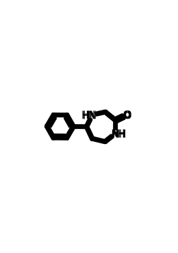 O=C1CNC(c2ccccc2)CCN1